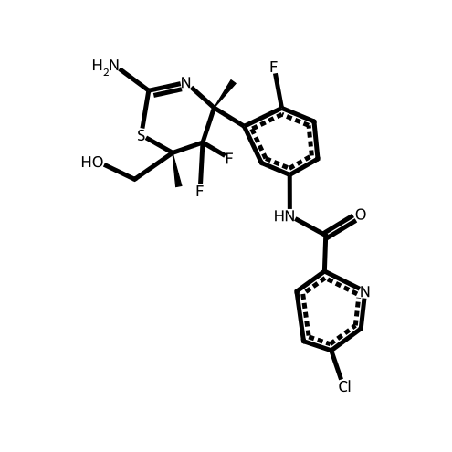 C[C@@]1(CO)SC(N)=N[C@](C)(c2cc(NC(=O)c3ccc(Cl)cn3)ccc2F)C1(F)F